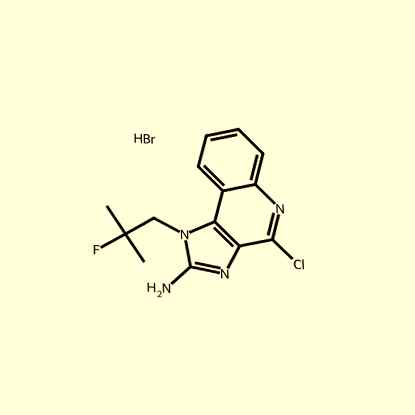 Br.CC(C)(F)Cn1c(N)nc2c(Cl)nc3ccccc3c21